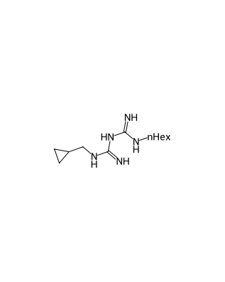 CCCCCCNC(=N)NC(=N)NCC1CC1